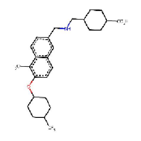 O=C(O)C1CCC(CNCc2ccc3c(C(F)(F)F)c(OC4CCC(C(F)(F)F)CC4)ccc3c2)CC1